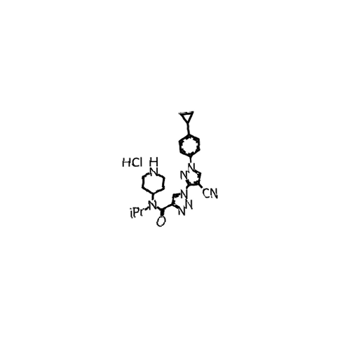 CC(C)N(C(=O)c1cn(-c2nn(-c3ccc(C4CC4)cc3)cc2C#N)nn1)C1CCNCC1.Cl